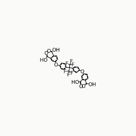 O=C(O)c1ccc(Oc2ccc(C(c3ccc(Oc4ccc(C(=O)O)c(C(=O)O)c4)cc3)(C(F)(F)F)C(F)(F)F)cc2)cc1C(=O)O